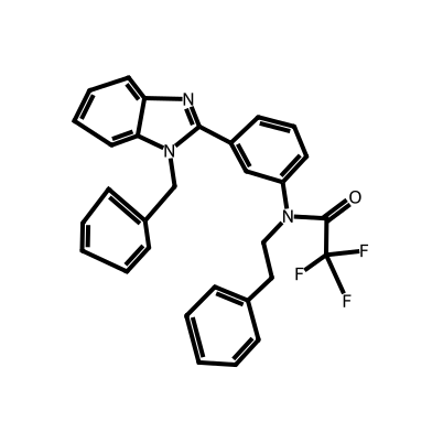 O=C(N(CCc1ccccc1)c1cccc(-c2nc3ccccc3n2Cc2ccccc2)c1)C(F)(F)F